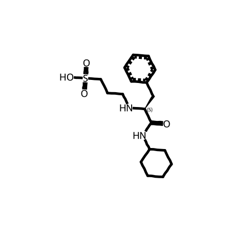 O=C(NC1CCCCC1)[C@H](Cc1ccccc1)NCCCS(=O)(=O)O